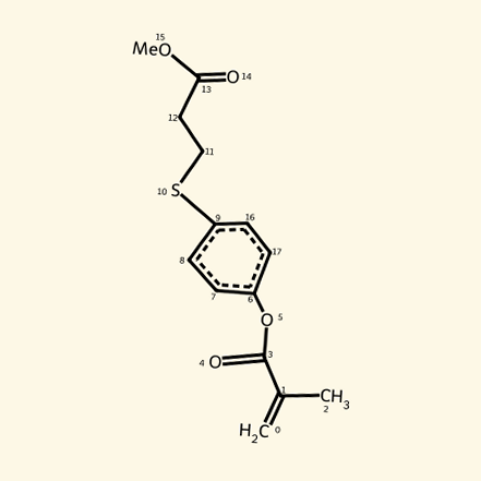 C=C(C)C(=O)Oc1ccc(SCCC(=O)OC)cc1